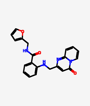 O=C(NCc1ccco1)c1ccccc1NCc1cc(=O)n2ccccc2n1